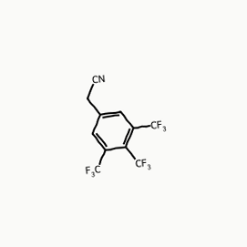 N#CCc1cc(C(F)(F)F)c(C(F)(F)F)c(C(F)(F)F)c1